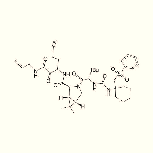 C#CCCC(NC(=O)[C@@H]1[C@@H]2[C@H](CN1C(=O)[C@@H](NC(=O)NC1(CS(=O)(=O)c3ccccc3)CCCCC1)C(C)(C)C)C2(C)C)C(=O)C(=O)NCC=C